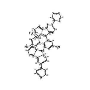 N#Cc1cc(-c2c(-n3c4ccccc4c4cc(-c5ccccc5)ccc43)cc(C#N)cc2-n2c3ccccc3c3cc(-c4ccccc4)ccc32)cc(C(F)(F)F)c1